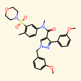 COc1cccc(Cn2cc(C(=O)N(C)c3ccc(C)c(S(=O)(=O)N4CCOCC4)c3)c(-c3cccc(OC)c3)n2)c1